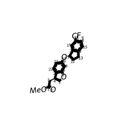 COC(=O)C[C@@H]1COc2cc(O[C@H]3CCc4ccc(C(F)(F)F)cc43)ccc21